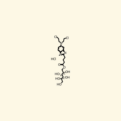 Cl.Cn1c(CCCC(=O)OC[C@@H](O)[C@@H](O)[C@H](O)[C@H](O)CO)nc2cc(N(CCCl)CCCl)ccc21